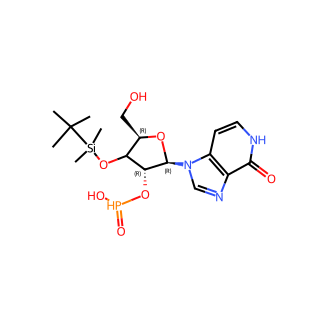 CC(C)(C)[Si](C)(C)OC1[C@@H](O[PH](=O)O)[C@H](n2cnc3c(=O)[nH]ccc32)O[C@@H]1CO